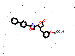 O=C(O)COc1cccc(CC2CC(=O)OC2c2coc(-c3ccc(-c4ccccc4)cc3)n2)c1